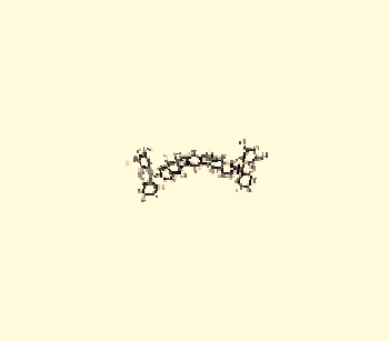 Cc1cc(C)cc(N(c2ccccc2)c2ccc3cc4c(cc3c2)oc2cc3oc5cc6cc(N(c7ccccc7)c7cc(C)cc(C)c7)ccc6cc5c3cc24)c1